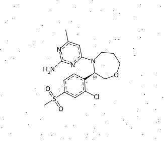 Cc1cc(N2CCCOC[C@H]2c2ccc(S(C)(=O)=O)cc2Cl)nc(N)n1